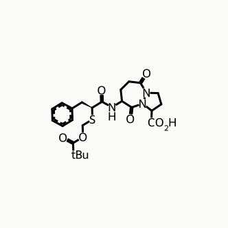 CC(C)(C)C(=O)OCS[C@@H](Cc1ccccc1)C(=O)NC1CCC(=O)N2CCC(C(=O)O)N2C1=O